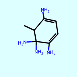 CC1C(N)=CC=C(N)C1(N)N